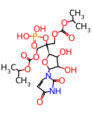 CC(C)OC(=O)OCC(COC(=O)OC(C)C)(OP(=O)(O)O)[C@@H]1O[C@H](n2ccc(=O)[nH]c2=O)C(O)C1O